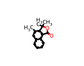 Cc1cc2ccccc2c2c1C(C)(C)OC2=O